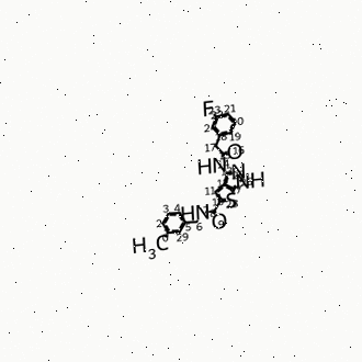 Cc1cccc(CNC(=O)c2cc3c(NC(=O)Cc4cccc(F)c4)n[nH]c3s2)c1